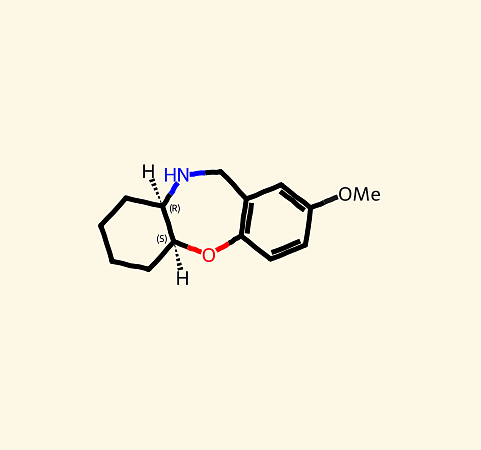 COc1ccc2c(c1)CN[C@@H]1CCCC[C@@H]1O2